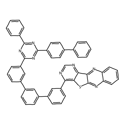 c1ccc(-c2ccc(-c3nc(-c4ccccc4)nc(-c4cccc(-c5cccc(-c6cccc(-c7ncnc8c7sc7nc9ccccc9nc78)c6)c5)c4)n3)cc2)cc1